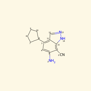 N#Cc1c(N)cc(C2CCCC2)c2cn[nH]c12